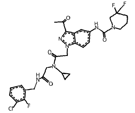 CC(=O)c1nn(CC(=O)N(CC(=O)NCc2cccc(Cl)c2F)C2CC2)c2ccc(NC(=O)N3CCCC(F)(F)C3)cc12